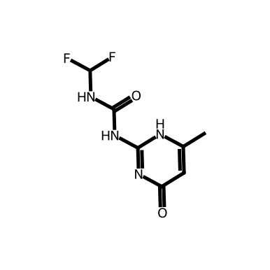 Cc1cc(=O)nc(NC(=O)NC(F)F)[nH]1